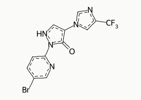 O=c1c(-n2cnc(C(F)(F)F)c2)c[nH]n1-c1ccc(Br)cn1